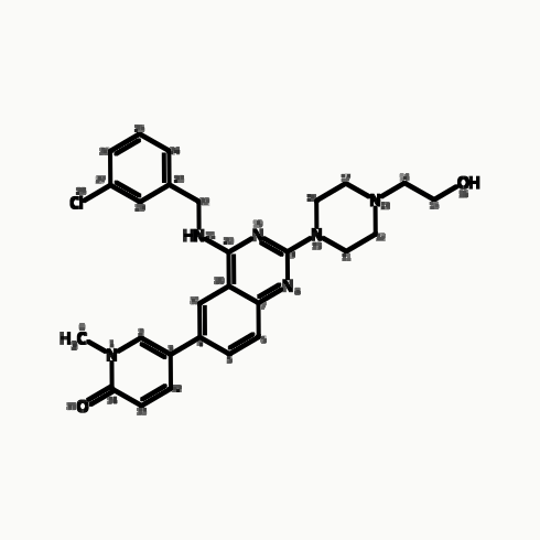 Cn1cc(-c2ccc3nc(N4CCN(CCO)CC4)nc(NCc4cccc(Cl)c4)c3c2)ccc1=O